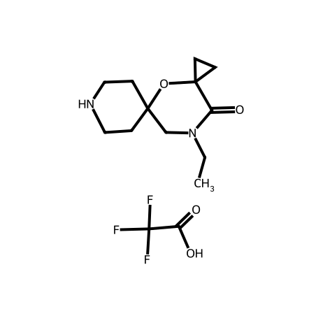 CCN1CC2(CCNCC2)OC2(CC2)C1=O.O=C(O)C(F)(F)F